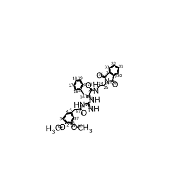 COc1ccc(CC(=O)NC(=N)N[C@H](Cc2ccccc2)C(=O)NCCN2C(=O)c3ccccc3C2=O)cc1OC